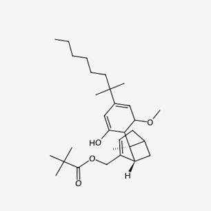 CCCCCCC(C)(C)C1=CC(OC)C([C@@]2(C)C3CC=C(COC(=O)C(C)(C)C)[C@H]2C3)C(O)=C1